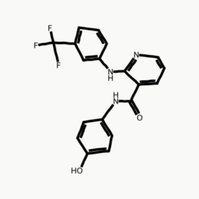 O=C(Nc1ccc(O)cc1)c1cccnc1Nc1cccc(C(F)(F)F)c1